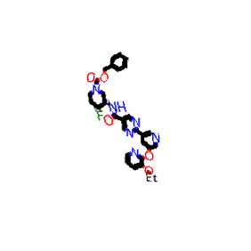 CCOc1cccnc1Oc1cncc(-c2ncc(C(=O)N[C@@H]3CN(C(=O)OCc4ccccc4)CC[C@H]3F)cn2)c1